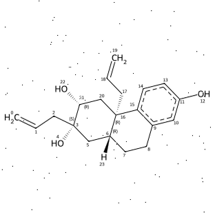 C=CC[C@]1(O)C[C@H]2CCc3cc(O)ccc3[C@]2(CC=C)C[C@H]1O